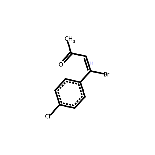 CC(=O)/C=C(/Br)c1ccc(Cl)cc1